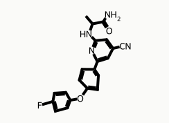 CC(Nc1cc(C#N)cc(-c2ccc(Oc3ccc(F)cc3)cc2)n1)C(N)=O